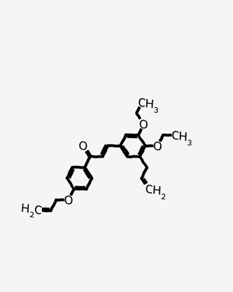 C=CCOc1ccc(C(=O)C=Cc2cc(CC=C)c(OCC)c(OCC)c2)cc1